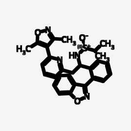 Cc1noc(C)c1-c1cccc(CC(N[S@@+]([O-])C(C)C)c2ccccc2-c2noc3ccccc23)n1